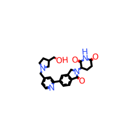 O=C1CCC(N2Cc3cc(-c4cc(CN5CCC(CO)C5)ccn4)ccc3C2=O)C(=O)N1